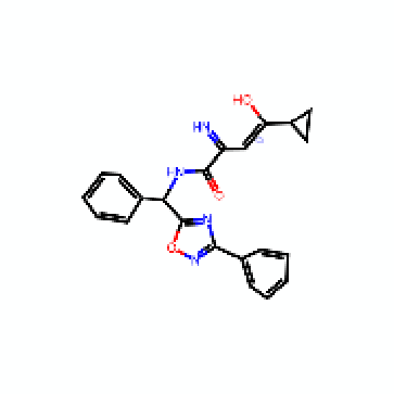 N=C(/C=C(\O)C1CC1)C(=O)NC(c1ccccc1)c1nc(-c2ccccc2)no1